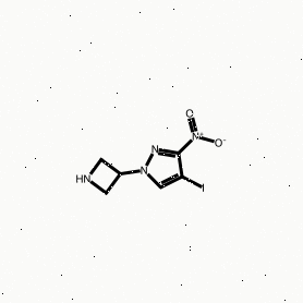 O=[N+]([O-])c1nn(C2CNC2)cc1I